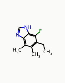 CCc1c(C)c(C)c2nc[nH]c2c1F